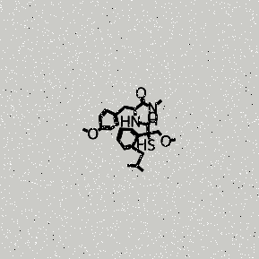 CNC(=O)C(Cc1ccc(OC)cc1)NC(=O)C(S)(COC)c1ccccc1CC(C)C